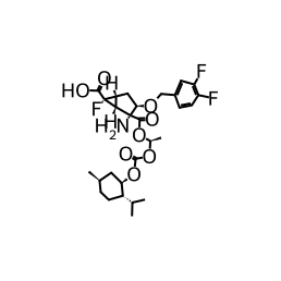 CC(C)[C@@H]1CC[C@@H](C)C[C@H]1OC(=O)O[C@H](C)OC(=O)[C@@]1(N)[C@H]2[C@@H](C[C@H]1OCc1ccc(F)c(F)c1)[C@]2(F)C(=O)O